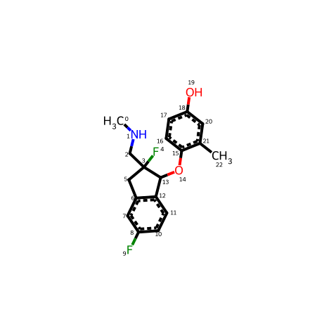 CNCC1(F)Cc2cc(F)ccc2C1Oc1ccc(O)cc1C